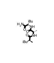 CC[C@H](C)[C@H](C)C(=O)N[C@@H](C)C(=O)N[C@H](C(N)=O)[C@@H](C)CC